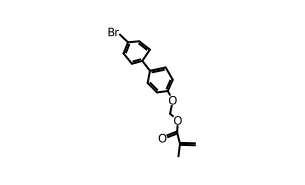 C=C(C)C(=O)OCOc1ccc(-c2ccc(Br)cc2)cc1